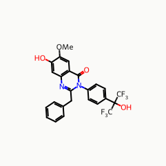 COc1cc2c(=O)n(-c3ccc(C(O)(C(F)(F)F)C(F)(F)F)cc3)c(Cc3ccccc3)nc2cc1O